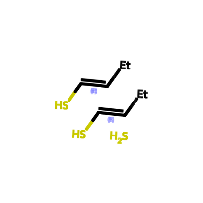 CC/C=C/S.CC/C=C/S.S